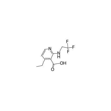 CCc1ccnc(NCC(F)(F)F)c1C(=O)O